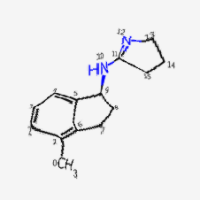 Cc1cccc2c1CC[C@@H]2NC1=NCCC1